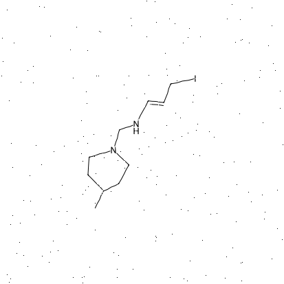 CC1CCN(CN/C=C/CI)CC1